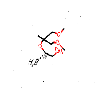 B[C@@H](CO)OC(C)(COC)COC